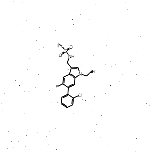 CC(C)Cn1cc(CNS(=O)(=O)C(C)C)c2cc(F)c(-c3ccccc3Cl)cc21